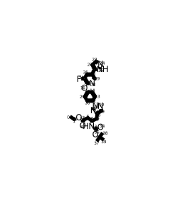 CCOC(=O)CC(Cc1cnn(-c2ccc(Oc3ncc(-c4ccn[nH]4)cc3F)cc2)n1)NC(=O)OC(C)(C)C